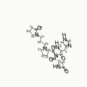 N[C@@H](Cc1c[nH]cn1)C(=O)N(C(=O)[C@@H]1CC(=O)N1)C(=O)[C@@H]1CCCN1CCCN1CCCC1=O